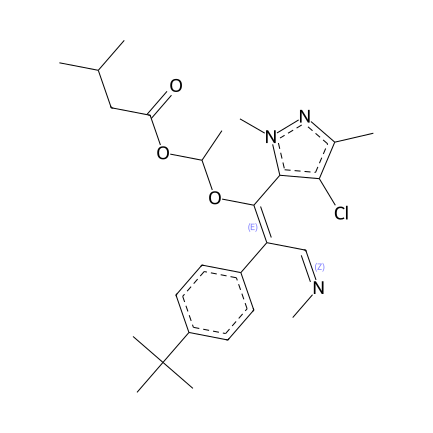 C/N=C\C(=C(\OC(C)OC(=O)CC(C)C)c1c(Cl)c(C)nn1C)c1ccc(C(C)(C)C)cc1